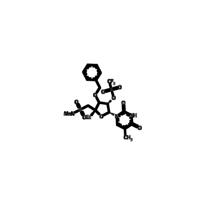 CC[C@]1(CS(=O)(=O)NC)O[C@@H](n2cc(C)c(=O)[nH]c2=O)[C@@H](OS(=O)(=O)C(F)(F)F)C1OCc1ccccc1